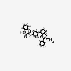 CN(Cc1cccc(-c2ccc(C[C@H](Oc3ccccc3)C(=O)O)cc2)c1)C(=O)c1ccccc1